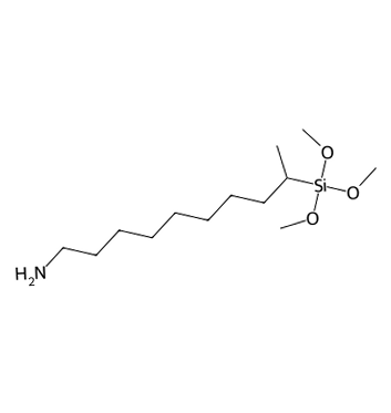 CO[Si](OC)(OC)C(C)CCCCCCCCN